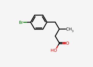 CC(CC(=O)O)Cc1ccc(Br)cc1